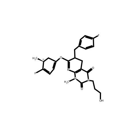 C[C@H]1CC(OC2=Nc3c(c(=O)n(CCCO)c(=O)n3C)CC2Cc2ccc(F)cc2)=CC=C1F